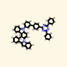 c1ccc(-c2nc(-c3ccccc3)nc(-c3ccc(-c4cccc(-n5c6ccccc6c6c7c8ccccc8c8cc9ccccc9n8c7ccc65)c4)cc3)n2)cc1